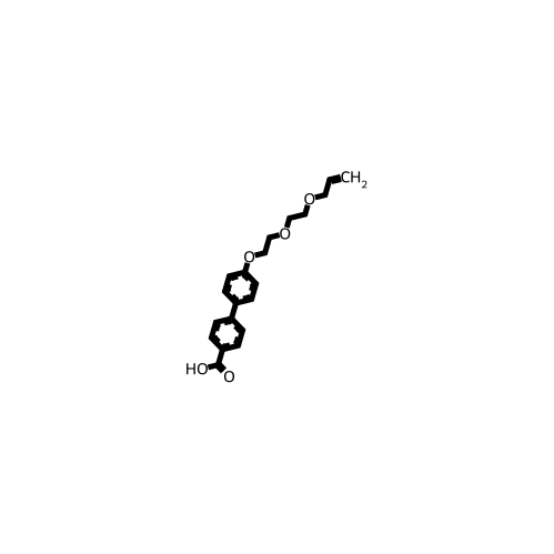 C=CCOCCOCCOc1ccc(-c2ccc(C(=O)O)cc2)cc1